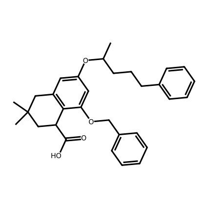 CC(CCCc1ccccc1)Oc1cc2c(c(OCc3ccccc3)c1)C(C(=O)O)CC(C)(C)C2